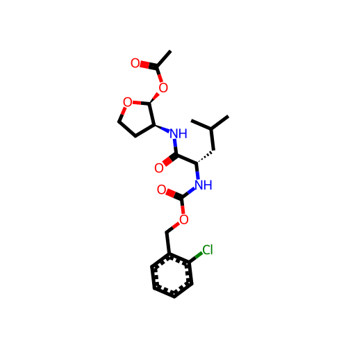 CC(=O)O[C@@H]1OCC[C@@H]1NC(=O)[C@H](CC(C)C)NC(=O)OCc1ccccc1Cl